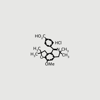 COc1cc2c(c3c1OC(C)(C)C3)C(c1ccc(C(=O)O)cc1)=NC(C)(C)C2.Cl